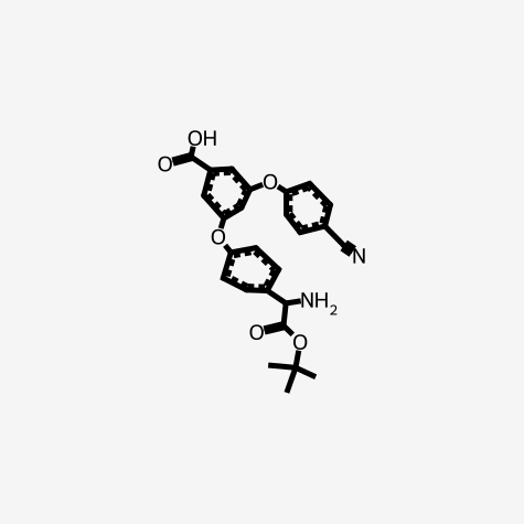 CC(C)(C)OC(=O)C(N)c1ccc(Oc2cc(Oc3ccc(C#N)cc3)cc(C(=O)O)c2)cc1